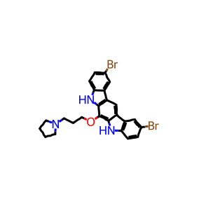 Brc1ccc2[nH]c3c(OCCCN4CCCC4)c4[nH]c5ccc(Br)cc5c4cc3c2c1